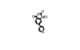 CCn1c(=O)oc(=O)c2ccc(-c3ccncc3)cc21